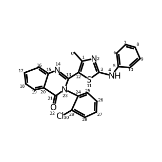 Cc1nc(Nc2ccccc2)sc1-c1nc2ccccc2c(=O)n1-c1ccccc1Cl